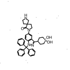 O=C1N(c2ccc3c(c2)c(C2CCS(O)(O)CC2)nn3C(c2ccccc2)(c2ccccc2)c2ccccc2)CCC12CCNC2